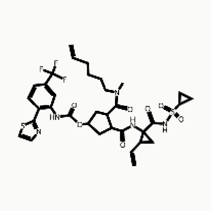 C=CCCCCN(C)C(=O)C1CC(OC(=O)Nc2cc(C(F)(F)F)ccc2-c2nccs2)CC1C(=O)NC1(C(=O)NS(=O)(=O)C2CC2)CC1C=C